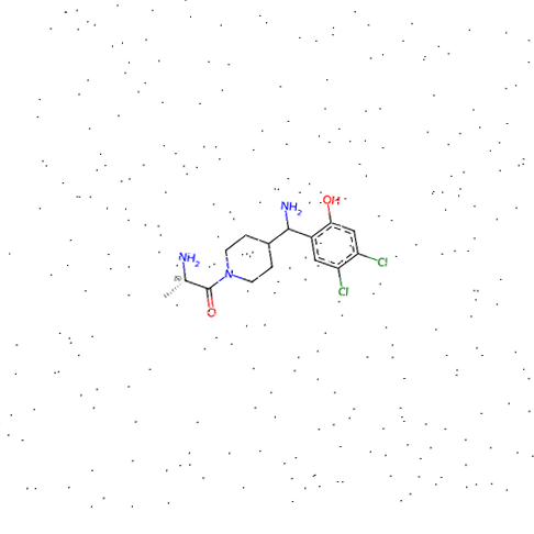 C[C@H](N)C(=O)N1CCC(C(N)c2cc(Cl)c(Cl)cc2O)CC1